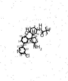 CC(C)(F)C(=O)N[C@@H]1CC[C@@H]2Oc3ccc(-c4cncc(Cl)c4)cc3C3(CSC(N)=N3)[C@H]2C1